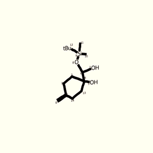 C=C1CCC(O)(C(O)O[Si](C)(C)C(C)(C)C)CC1